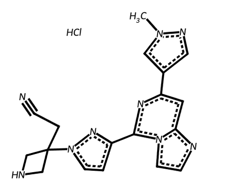 Cl.Cn1cc(-c2cc3nccn3c(-c3ccn(C4(CC#N)CNC4)n3)n2)cn1